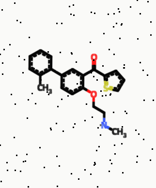 C[N]CCOc1ccc(-c2ccccc2C)cc1C(=O)c1cccs1